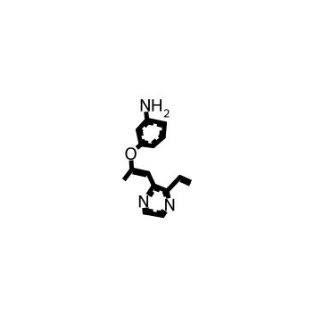 C=Cc1nccnc1/C=C(\C)Oc1cccc(N)c1